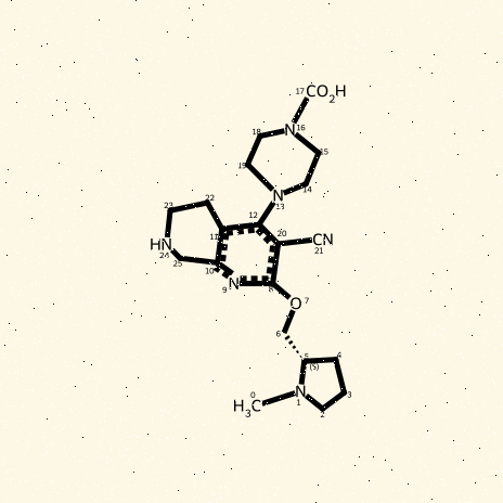 CN1CCC[C@H]1COc1nc2c(c(N3CCN(C(=O)O)CC3)c1C#N)CCNC2